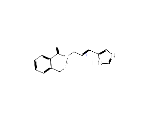 O=C1c2ccccc2CON1C/C=C/c1cnc[nH]1